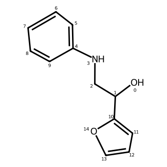 OC(CNc1ccccc1)c1ccco1